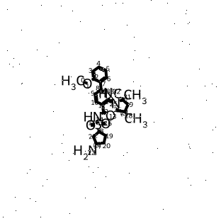 COc1ccccc1-c1ccc(C(=O)NS(=O)(=O)C2CC[C@H](N)C2)c(N2C[C@@H](C)CC2(C)C)n1